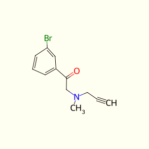 C#CCN(C)CC(=O)c1cccc(Br)c1